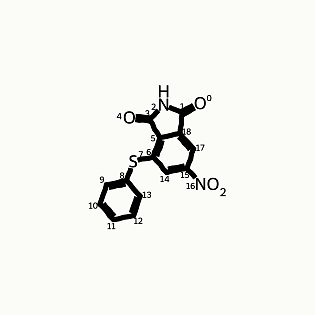 O=C1NC(=O)c2c(Sc3ccccc3)cc([N+](=O)[O-])cc21